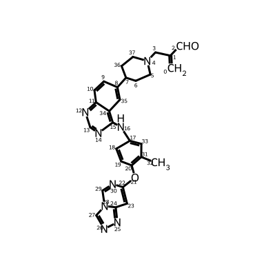 C=C(C=O)CN1CCC(c2ccc3ncnc(Nc4ccc(Oc5cc6nncn6cn5)c(C)c4)c3c2)CC1